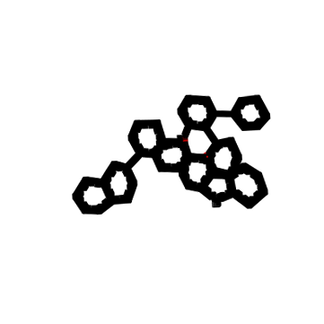 c1ccc(-c2ccccc2-c2c(-c3ccccc3)cccc2N(c2cccc(-c3ccc4ccccc4c3)c2)c2ccc3sc4ccccc4c3c2)cc1